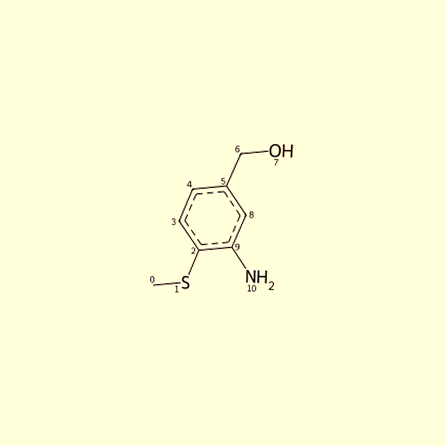 CSc1ccc(CO)cc1N